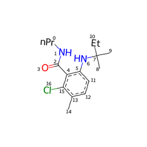 CCCNC(=O)c1c(NC(C)(C)CC)ccc(C)c1Cl